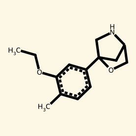 CCOc1cc(C23CNC(CO2)C3)ccc1C